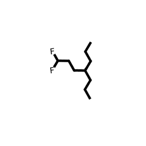 CCC[C](CCC)CCC(F)F